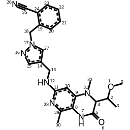 COC(C)C1C(=O)Nc2c(cc(NCc3cnn(Cc4ccccc4C#N)c3)nc2C)N1C